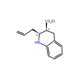 C=CC[C@@H]1Nc2ccccc2C[C@@H]1C(=O)OCC